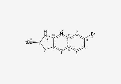 CC(C)(C)[C@@H]1Cc2cc3ccc(Br)cc3nc2N1